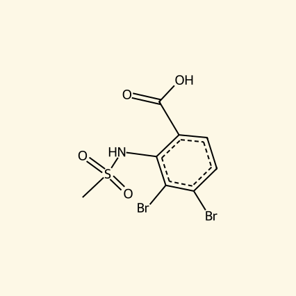 CS(=O)(=O)Nc1c(C(=O)O)ccc(Br)c1Br